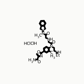 CCNCCN(C(=O)CNCC(=O)N(C)N1Cc2ccccc2C1)c1ccc(-c2nc(C(N)=O)co2)cc1C.Cl.Cl